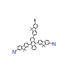 C#Cc1ccc2c(c1)C(C)(C)c1cc(-c3ccc4c(-c5ccc6c(c5)C(C)(C)c5cc(C#N)ccc5-6)c5ccccc5c(-c5ccc6c(c5)C(C)(C)c5cc(C#N)ccc5-6)c4c3)ccc1-2